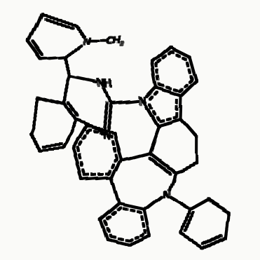 CN1C=CC=CC1C1NC(n2c3c(c4ccccc42)CCC2=C3c3ccccc3-c3ccccc3N2C2=CC=CCC2)=NC2=C1CCC=C2